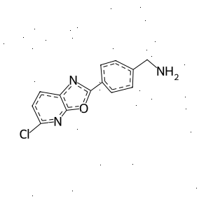 NCc1ccc(-c2nc3ccc(Cl)nc3o2)cc1